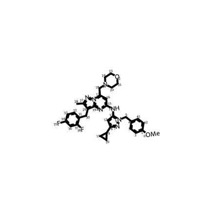 COc1ccc(Cn2nc(C3CC3)cc2Nc2cc(CN3CCOCC3)n3nc(C)c(Cc4ccc(F)cc4F)c3n2)cc1